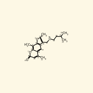 Cc1oc2c(C)c3oc(=O)cc(C)c3cc2c1COCCC(C)C